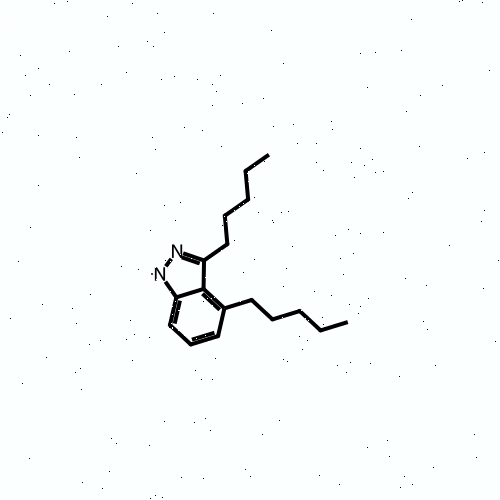 CCCCCC1=N[N]c2cccc(CCCCC)c21